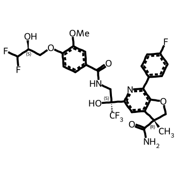 COc1cc(C(=O)NC[C@](O)(c2cc3c(c(-c4ccc(F)cc4)n2)OC[C@]3(C)C(N)=O)C(F)(F)F)ccc1OC[C@H](O)C(F)F